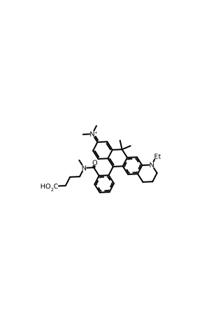 CCN1CCCc2cc3c(cc21)C(C)(C)C1=CC(=[N+](C)C)C=CC1=C3c1ccccc1C(=O)N(C)CCCC(=O)O